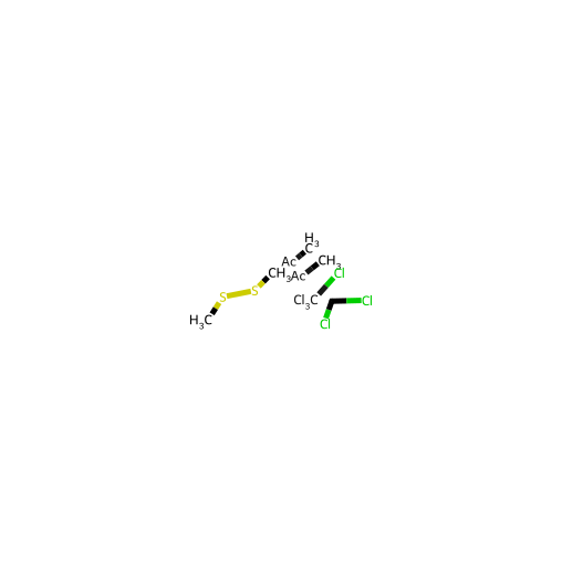 CC(C)=O.CC(C)=O.CSSC.ClC(Cl)(Cl)Cl.ClCCl